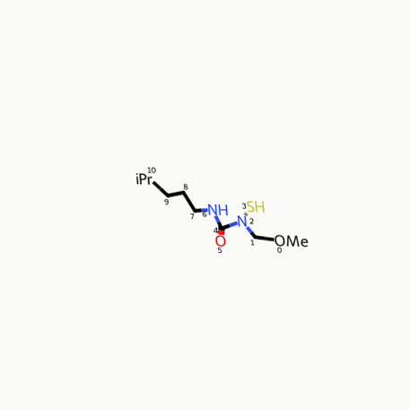 COCN(S)C(=O)NCCCC(C)C